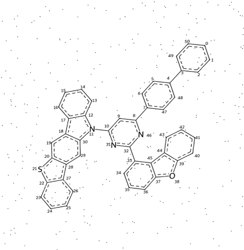 c1ccc(-c2ccc(-c3cc(-n4c5ccccc5c5cc6sc7ccccc7c6cc54)nc(-c4cccc5oc6ccccc6c45)n3)cc2)cc1